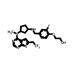 CN(c1ncnc2sc(CC(F)(F)F)cc12)C1CCC(NCc2ccc(OCCO)c(F)c2)C1